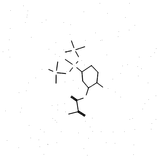 C=C(C)C(=O)OC1CC([Si](C)(O[Si](C)(C)C)O[Si](C)(C)C)CCC1O